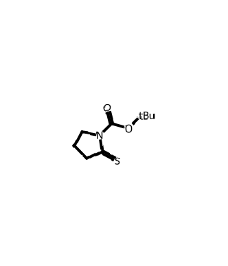 CC(C)(C)OC(=O)N1CCCC1=S